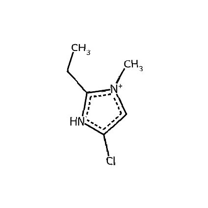 CCc1[nH]c(Cl)c[n+]1C